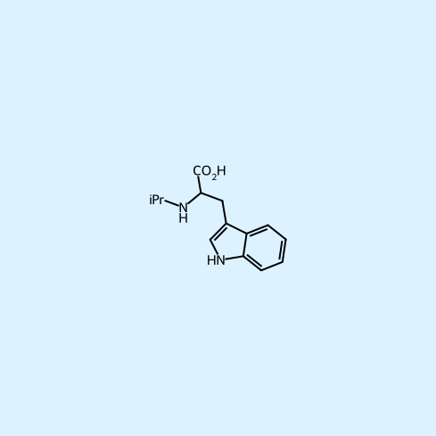 CC(C)NC(Cc1c[nH]c2ccccc12)C(=O)O